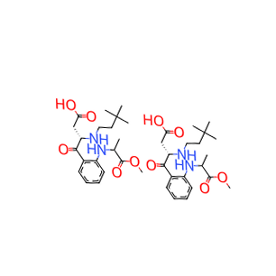 COC(=O)C(C)Nc1ccccc1C(=O)[C@H](CC(=O)O)NCCC(C)(C)C.COC(=O)C(C)Nc1ccccc1C(=O)[C@H](CC(=O)O)NCCC(C)(C)C